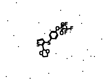 O=S(=O)(Oc1ccc(Sc2ccsc2C2OCCO2)cc1)C(F)(F)F